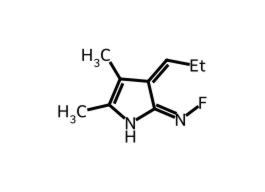 CC/C=C1/C(C)=C(C)N/C1=N/F